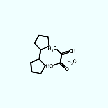 C1CCC(C2CCCC2)C1.C=C(C)C(=O)O.O